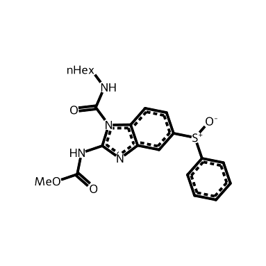 CCCCCCNC(=O)n1c(NC(=O)OC)nc2cc([S+]([O-])c3ccccc3)ccc21